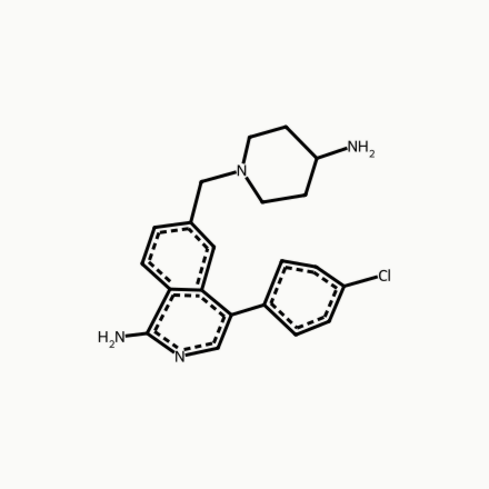 Nc1ncc(-c2ccc(Cl)cc2)c2cc(CN3CCC(N)CC3)ccc12